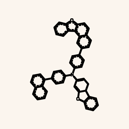 C1=C2Oc3ccccc3C2CC=C1N(c1ccc(-c2ccc3ccc4oc5ccccc5c4c3c2)cc1)c1ccc(-c2cccc3ccccc23)cc1